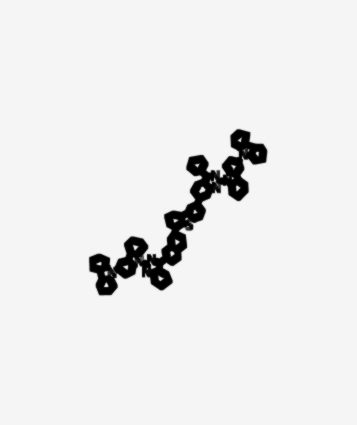 c1ccc(-c2nc(-n3c4ccccc4c4cc(-n5c6ccccc6c6ccccc65)ccc43)nc3cc(-c4ccc5sc6c(-c7ccc8ccc(-c9nc(-n%10c%11ccccc%11c%11cc(-n%12c%13ccccc%13c%13ccccc%13%12)ccc%11%10)nc%10ccccc9%10)cc8c7)cccc6c5c4)ccc23)cc1